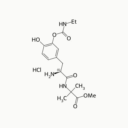 CCNC(=O)Oc1cc(C[C@H](N)C(=O)NC(C)(C)C(=O)OC)ccc1O.Cl